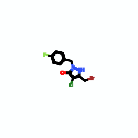 O=c1c(Cl)c(CBr)[nH]n1Cc1ccc(F)cc1